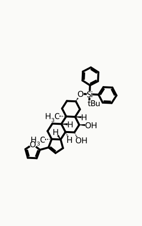 CC(C)(C)[Si](O[C@H]1CC[C@@]2(C)[C@H](C1)[C@@H](O)[C@H](O)[C@@H]1[C@@H]2CC[C@]2(C)C(c3ccco3)=CC[C@@H]12)(c1ccccc1)c1ccccc1